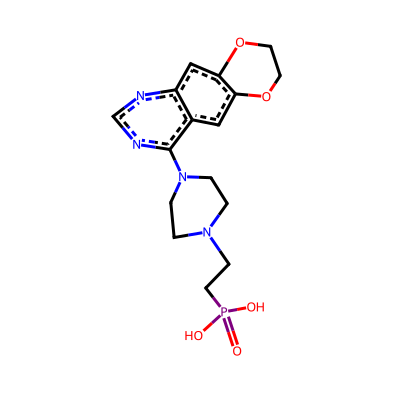 O=P(O)(O)CCN1CCN(c2ncnc3cc4c(cc23)OCCO4)CC1